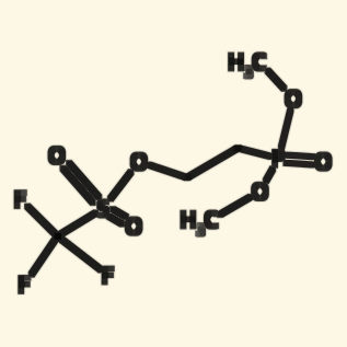 COP(=O)(CCOS(=O)(=O)C(F)(F)F)OC